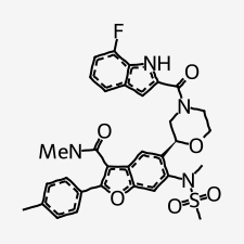 CNC(=O)c1c(-c2ccc(C)cc2)oc2cc(N(C)S(C)(=O)=O)c([C@H]3CN(C(=O)c4cc5cccc(F)c5[nH]4)CCO3)cc12